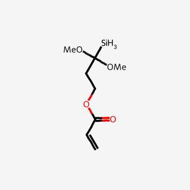 C=CC(=O)OCCC([SiH3])(OC)OC